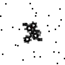 CC(c1ccccc1)C(CCc1ccccc1)(c1ccc(O)cc1)c1ccc(O)cc1